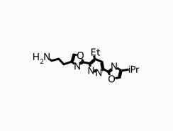 CCc1cc(-c2nc(C(C)C)co2)nnc1-c1nc(CCCN)co1